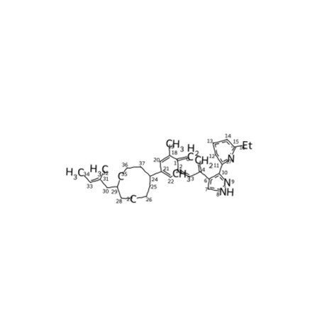 C=C(/C=C\C(=C)c1c[nH]nc1-c1cccc(CC)n1)/C(C)=C\C(=C/C)C1CCCCC(C/C(C)=C/C)CCC1